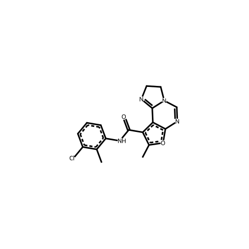 Cc1oc2c(c1C(=O)Nc1cccc(Cl)c1C)C1=NCCN1C=N2